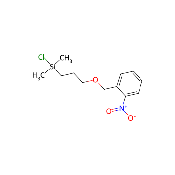 C[Si](C)(Cl)CCCOCc1ccccc1[N+](=O)[O-]